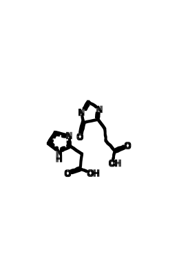 O=C(O)CCC1=NC=NC1=O.O=C(O)Cc1ncc[nH]1